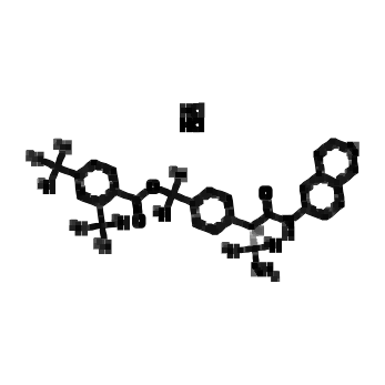 Cl.Cl.[2H]C([2H])([2H])c1ccc(C(=O)OC([2H])([2H])c2ccc([C@H](C(=O)Nc3ccc4cnccc4c3)C([2H])([2H])N)cc2)c(C([2H])([2H])[2H])c1